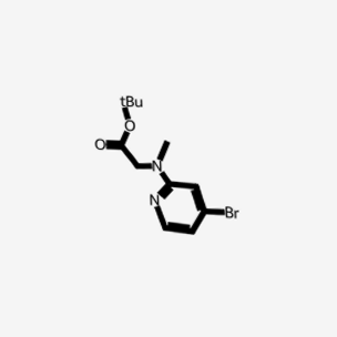 CN(CC(=O)OC(C)(C)C)c1cc(Br)ccn1